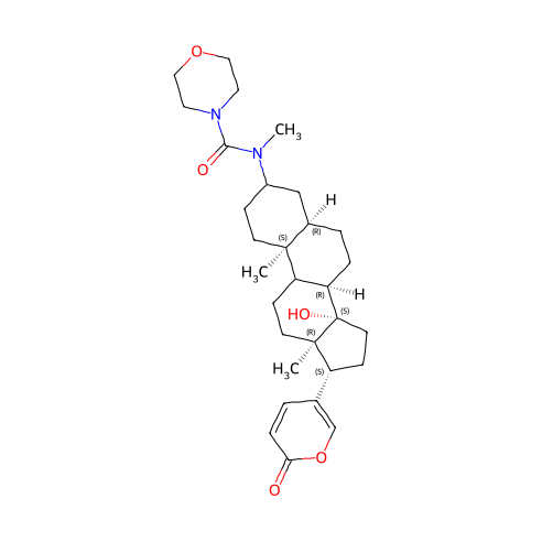 CN(C(=O)N1CCOCC1)C1CC[C@]2(C)C3CC[C@]4(C)[C@@H](c5ccc(=O)oc5)CC[C@]4(O)[C@@H]3CC[C@@H]2C1